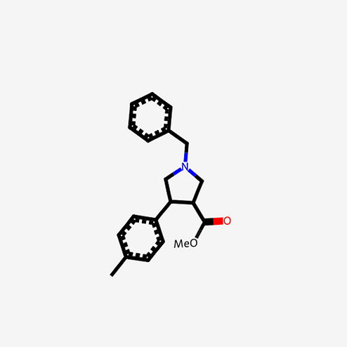 COC(=O)C1CN(Cc2ccccc2)CC1c1ccc(C)cc1